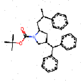 CC(CC1CC(C(c2ccccc2)c2ccccc2)CN1C(=O)OC(C)(C)C)c1ccccc1